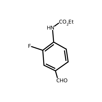 CCOC(=O)Nc1ccc(C=O)cc1F